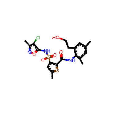 Cc1cc(C)c(NC(=O)c2sc(C)cc2S(=O)(=O)Nc2onc(C)c2Cl)c(CCO)c1